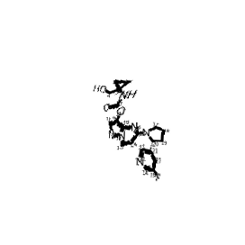 O=C(NC1(CO)CC1)Oc1cnn2ccc(N3CCC[C@@H]3c3cncc(F)c3)nc12